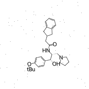 CC(C)(C)Oc1ccc([C@@H](O)[C@@H](CN2CCCC2)NC(=O)CC2Cc3ccccc3C2)cc1